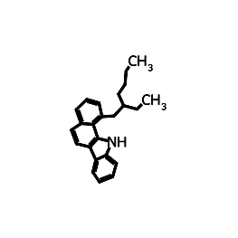 CCCCC(CC)Cc1cccc2ccc3c4ccccc4[nH]c3c12